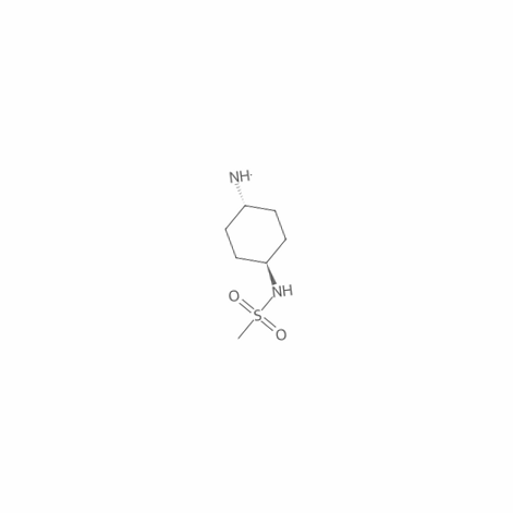 CS(=O)(=O)N[C@H]1CC[C@H]([NH])CC1